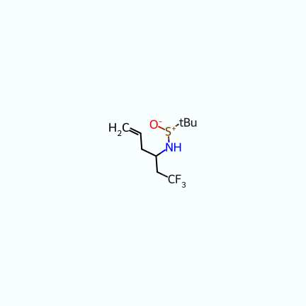 C=CCC(CC(F)(F)F)N[S+]([O-])C(C)(C)C